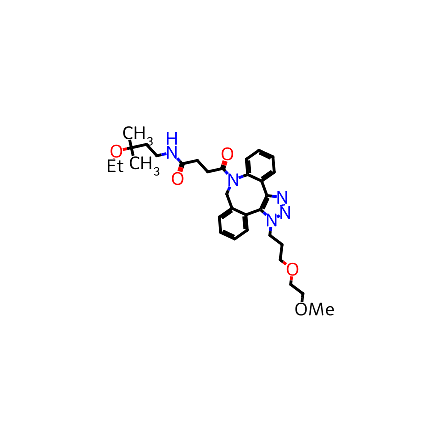 CCOC(C)(C)CCNC(=O)CCC(=O)N1Cc2ccccc2-c2c(nnn2CCCOCCOC)-c2ccccc21